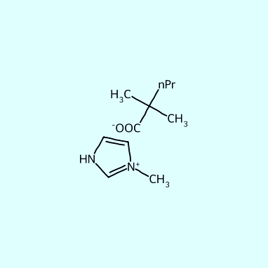 CCCC(C)(C)C(=O)[O-].C[n+]1cc[nH]c1